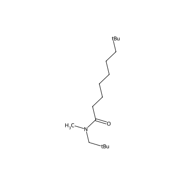 CN(CC(C)(C)C)C(=O)CCCCCCC(C)(C)C